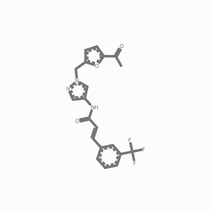 CC(=O)c1ccc(Cn2cc(NC(=O)C=Cc3cccc(C(F)(F)F)c3)cn2)o1